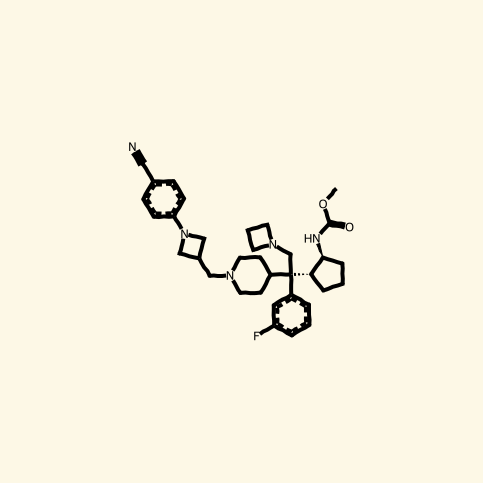 COC(=O)N[C@H]1CCC[C@@H]1C(CN1CCC1)(c1cccc(F)c1)C1CCN(CC2CN(c3ccc(C#N)cc3)C2)CC1